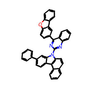 c1ccc(-c2ccc3c4c5ccccc5ccc4n(-c4nc(-c5ccc6oc7ccccc7c6c5)c5ccccc5n4)c3c2)cc1